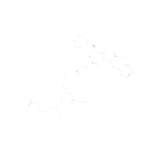 CCN(CCN(CCN(CCN(C)CC(=O)OC)CC(=O)O)CC(=O)OC)CC(=O)N[C@@H](CC(=O)O)C(=O)N[C@@H](CC1CCCCC1)C(=O)NC(Cc1ccccc1)C(=O)NC